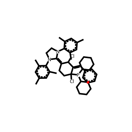 Cc1cc(C)c(N2CCN(c3c(C)cc(C)cc3C)C2=C2CCC(Cl)(P(C3CCCCC3)C3CCCCC3)C(=Cc3ccccc3)C2Cl)c(C)c1